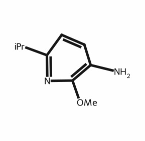 COc1nc(C(C)C)ccc1N